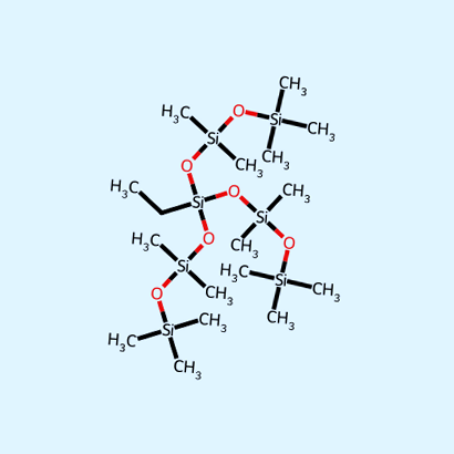 CC[Si](O[Si](C)(C)O[Si](C)(C)C)(O[Si](C)(C)O[Si](C)(C)C)O[Si](C)(C)O[Si](C)(C)C